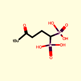 CC(C)(C)C(=O)CCC(P(=O)(O)O)P(=O)(O)O